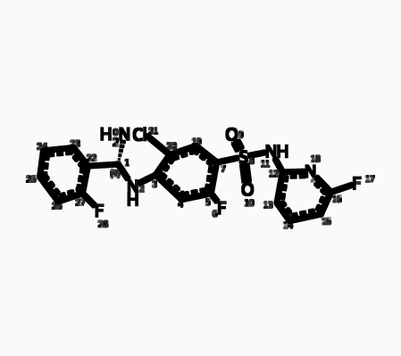 N[C@H](Nc1cc(F)c(S(=O)(=O)Nc2cccc(F)n2)cc1Cl)c1ccccc1F